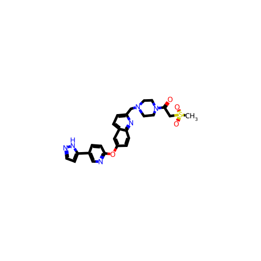 CS(=O)(=O)CC(=O)N1CCN(Cc2ccc3cc(Oc4ccc(-c5ccn[nH]5)cn4)ccc3n2)CC1